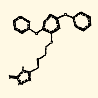 S=c1[nH]nc(CSCCOc2cc(Oc3ccccc3)ccc2Oc2ccccc2)[nH]1